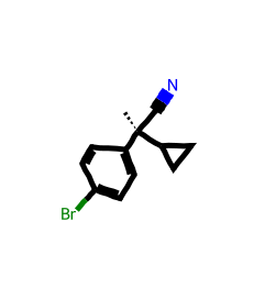 C[C@@](C#N)(c1ccc(Br)cc1)C1CC1